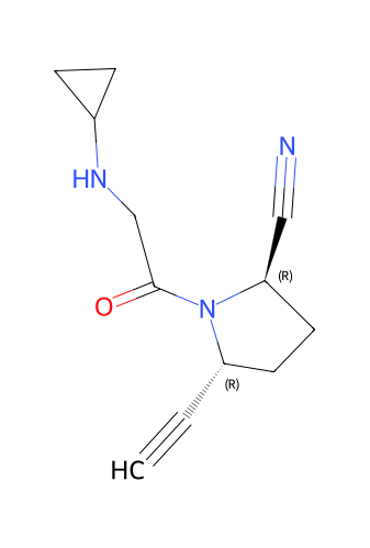 C#C[C@H]1CC[C@H](C#N)N1C(=O)CNC1CC1